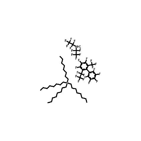 CCCCCCCC[B-](CCCCCCCC)(CCCCCCCC)CCCCCCCC.FC(F)(F)C(F)(F)[NH2+]C(F)(F)C(F)(F)F.Fc1c(F)c(F)c(-c2c(C(F)(F)F)c(F)c(F)c(F)c2C(F)(F)C(F)(F)F)c(F)c1F